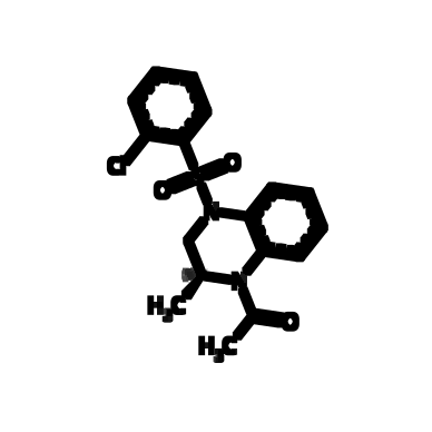 CC(=O)N1c2ccccc2N(S(=O)(=O)c2ccccc2Cl)C[C@@H]1C